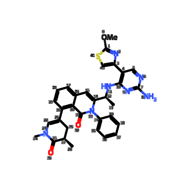 COc1nc(-c2cnc(N)nc2N[C@@H](C)c2cc3cccc(C4=CN(C)C(=O)[C@H](C)C4)c3c(=O)n2-c2ccccc2)cs1